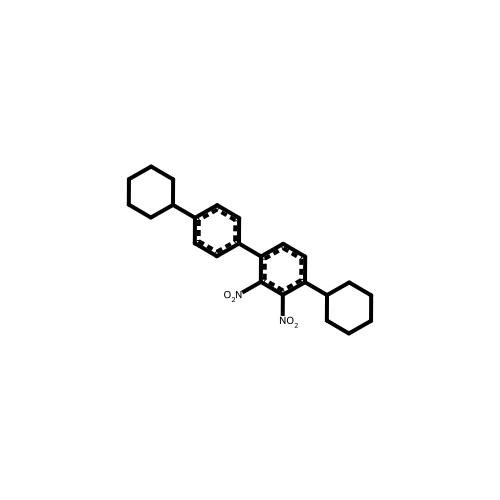 O=[N+]([O-])c1c(-c2ccc(C3CCCCC3)cc2)ccc(C2CCCCC2)c1[N+](=O)[O-]